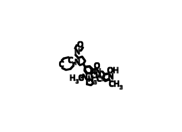 Cc1cc(C)c(CNC(=O)c2cc(C3CCC(CN4CCOCC4)N(C4CCCCCCCCC4)C3)cc(N(C)C3CCCC3)c2C)c(O)n1